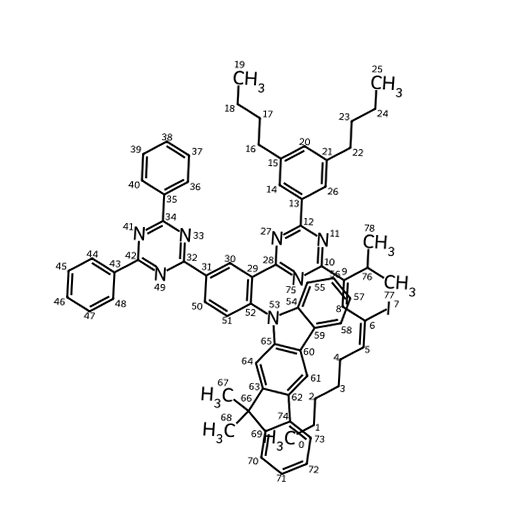 CCCCC/C=C(I)\C=C(\c1nc(-c2cc(CCCC)cc(CCCC)c2)nc(-c2cc(-c3nc(-c4ccccc4)nc(-c4ccccc4)n3)ccc2-n2c3ccccc3c3cc4c(cc32)C(C)(C)c2ccccc2-4)n1)C(C)C